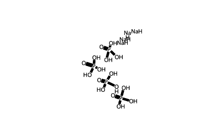 O=P(O)(O)O.O=P(O)(O)O.O=P(O)(O)O.O=P(O)(O)O.[NaH].[NaH].[NaH].[NaH]